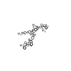 Cc1cc(CC(NC(=O)N2CCC(c3cc4ccccc4n(COC(=O)C(C)(C)c4ccccc4)c3=O)CC2)C(=O)N2CCN(C3CCN(C)CC3)CC2)cc2cn(COC(=O)C(C)(C)c3ccccc3)nc12